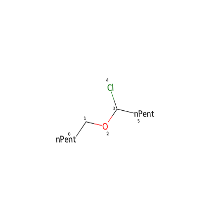 CCCCCCOC(Cl)CCCCC